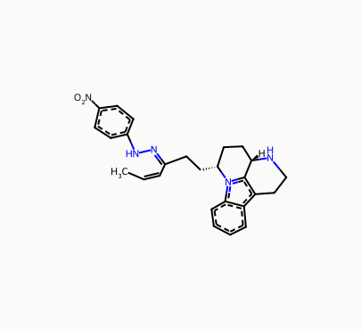 C/C=C\C(CC[C@@H]1CC[C@@H]2NCCc3c2n1c1ccccc31)=N/Nc1ccc([N+](=O)[O-])cc1